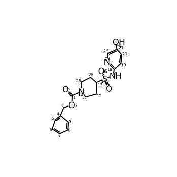 O=C(OCc1ccccc1)N1CCC(S(=O)(=O)Nc2ccc(O)cn2)CC1